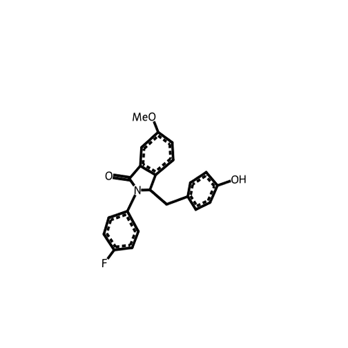 COc1ccc2c(c1)C(=O)N(c1ccc(F)cc1)C2Cc1ccc(O)cc1